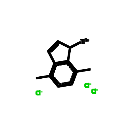 Cc1ccc(C)c2c1C=C[CH]2[Ti+3].[Cl-].[Cl-].[Cl-]